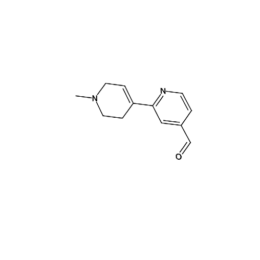 CN1CC=C(c2cc(C=O)ccn2)CC1